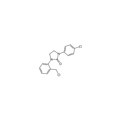 O=C1N(c2ccc(Cl)cc2)CCN1c1ccccc1CCl